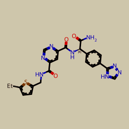 CCc1ccc(CNC(=O)c2cc(C(=O)N[C@@H](C(N)=O)c3ccc(-c4nnc[nH]4)cc3)ncn2)s1